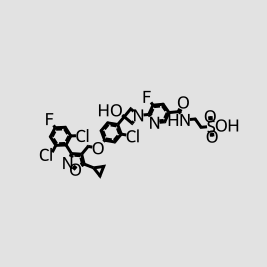 O=C(NCCS(=O)(=O)O)c1cnc(N2CC(O)(c3ccc(OCc4c(-c5c(Cl)cc(F)cc5Cl)noc4C4CC4)cc3Cl)C2)c(F)c1